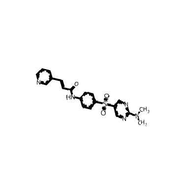 CN(C)c1ncc(S(=O)(=O)c2ccc(NC(=O)C=Cc3cccnc3)cc2)cn1